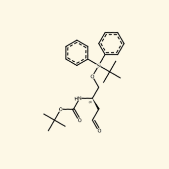 CC(C)(C)OC(=O)N[C@H](CC=O)CO[Si](c1ccccc1)(c1ccccc1)C(C)(C)C